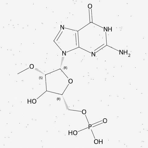 CO[C@H]1C(O)[C@@H](COP(=O)(O)O)O[C@H]1n1cnc2c(=O)[nH]c(N)nc21